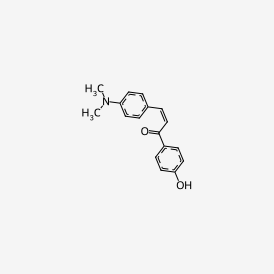 CN(C)c1ccc(/C=C\C(=O)c2ccc(O)cc2)cc1